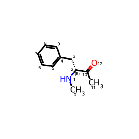 CN[C@H](Cc1ccccc1)C(C)=O